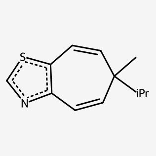 CC(C)C1(C)C=Cc2ncsc2C=C1